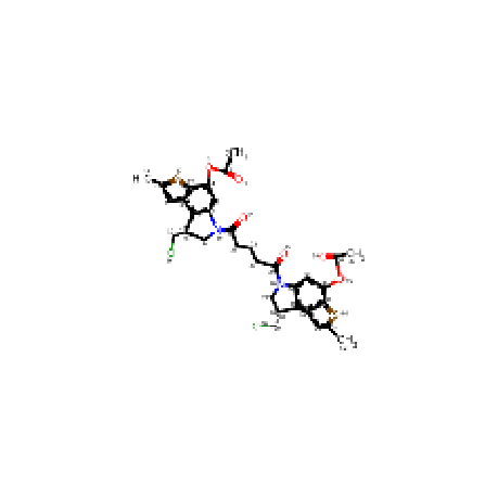 CC(=O)Oc1cc2c(c3cc(C)sc13)[C@H](CCl)CN2C(=O)CCCC(=O)N1C[C@@H](CCl)c2c1cc(OC(C)=O)c1sc(C)cc21